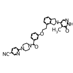 Cc1c(N2Cc3cccc(CCOc4cccc(C(=O)N5CCN(c6ccc(C#N)cn6)CC5)c4)c3C2)cn[nH]c1=O